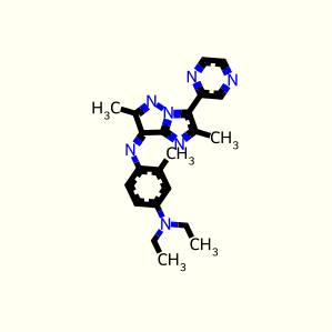 CCN(CC)c1ccc(/N=C2/C(C)=Nn3c2nc(C)c3-c2cnccn2)c(C)c1